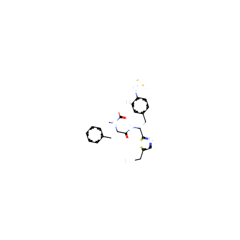 CCc1cnc([C@H](Cc2ccc(NS(=O)(=O)O)cc2)NC(=O)[C@H](Cc2ccccc2)N(C)C(=O)OC)s1